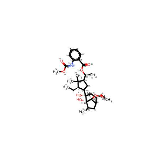 CC[C@@H]1C([C@@]2(O)C[C@H](OC)C3CC(C)[C@]2(O)[C@H]3OC)CC([C@H](C)OC(=O)c2ccccc2NC(=O)OC)C1(C)C